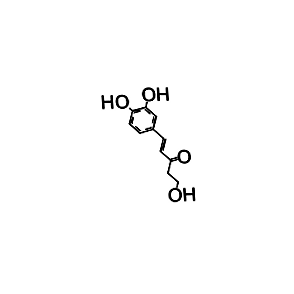 O=C(/C=C/c1ccc(O)c(O)c1)CCO